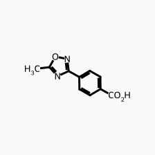 Cc1nc(-c2ccc(C(=O)O)cc2)no1